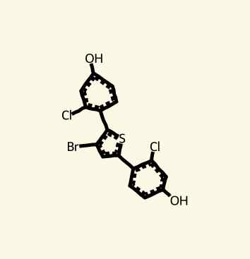 Oc1ccc(-c2cc(Br)c(-c3ccc(O)cc3Cl)s2)c(Cl)c1